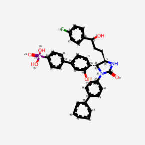 O=C1N[C@H](CCC(O)c2ccc(F)cc2)[C@@H](c2ccc(-c3ccc(P(=O)(O)O)cc3)cc2O)N1c1ccc(-c2ccccc2)cc1